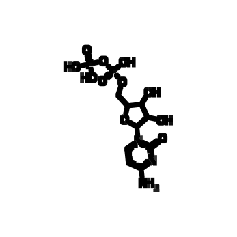 Nc1ccn(C2OC(COP(=O)(O)OP(=O)(O)O)C(O)C2O)c(=O)n1